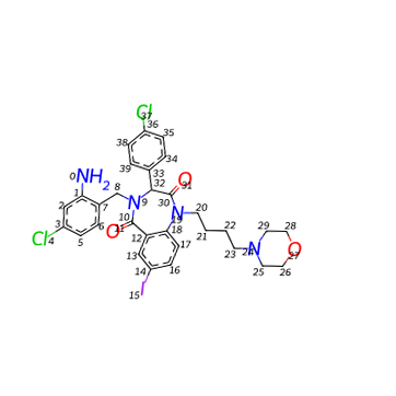 Nc1cc(Cl)ccc1CN1C(=O)c2cc(I)ccc2N(CCCCN2CCOCC2)C(=O)C1c1ccc(Cl)cc1